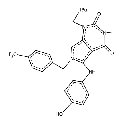 Cn1c(=O)c2c(Nc3ccc(O)cc3)n(Cc3ccc(C(F)(F)F)cc3)cc2n(CC(C)(C)C)c1=O